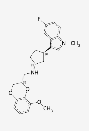 COc1cccc2c1O[C@@H](CN[C@@H]1CC[C@@H](c3cn(C)c4ccc(F)cc34)C1)CO2